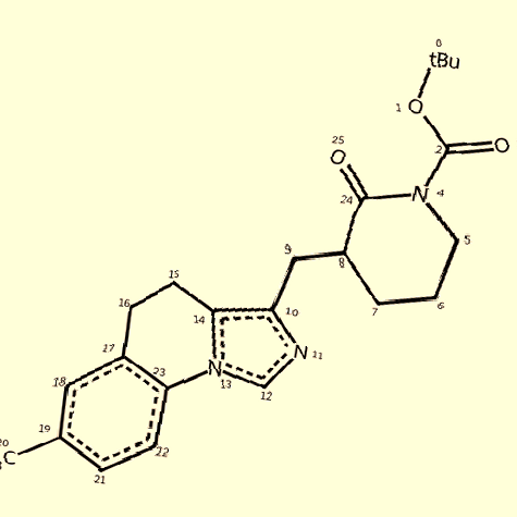 CC(C)(C)OC(=O)N1CCCC(Cc2ncn3c2CCc2cc(C(F)(F)F)ccc2-3)C1=O